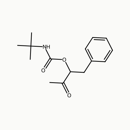 CC(=O)C(Cc1ccccc1)OC(=O)NC(C)(C)C